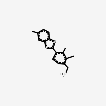 Cc1ccc2nc(-c3ccc(CP)c(C)c3C)sc2c1